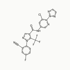 N#Cc1cc(F)ccc1-n1ncc(C(=O)Nc2cnc(-n3nccn3)c(Cl)c2)c1C(F)(F)F